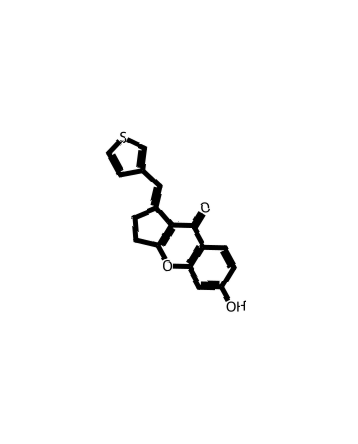 O=c1c2c(oc3cc(O)ccc13)CCC2=Cc1ccsc1